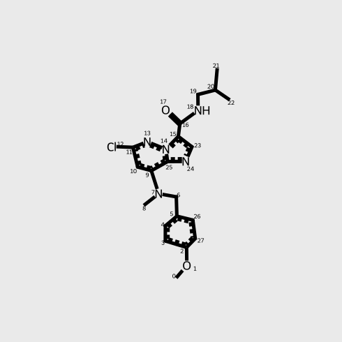 COc1ccc(CN(C)c2cc(Cl)nn3c(C(=O)NCC(C)C)cnc23)cc1